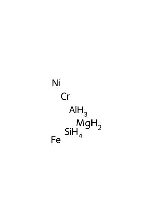 [AlH3].[Cr].[Fe].[MgH2].[Ni].[SiH4]